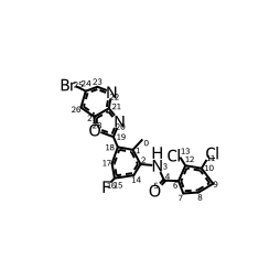 Cc1c(NC(=O)c2cccc(Cl)c2Cl)cc(F)cc1-c1nc2ncc(Br)cc2o1